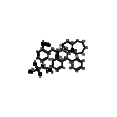 COc1ccc(N(C)S(=O)(=O)C(C)C)cc1CNC1C2CC3CCCCC(C2)N3C1C(c1ccccc1)c1ccccc1